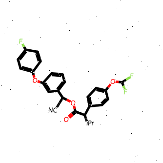 CC(C)C(C(=O)OC(C#N)c1cccc(Oc2ccc(F)cc2)c1)c1ccc(OC(F)F)cc1